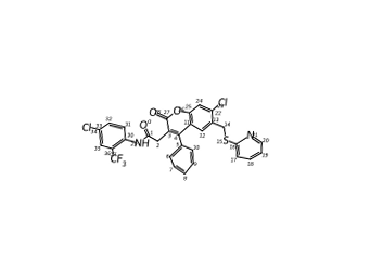 O=C(Cc1c(-c2ccccc2)c2cc(CSc3ccccn3)c(Cl)cc2oc1=O)Nc1ccc(Cl)cc1C(F)(F)F